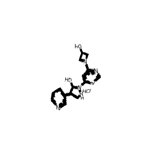 Cl.OC1CN(c2cc(N3NC=C(c4cccnc4)C3O)ncn2)C1